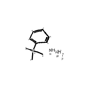 C[N+](C)(C)c1ccccc1.I.N.[I-]